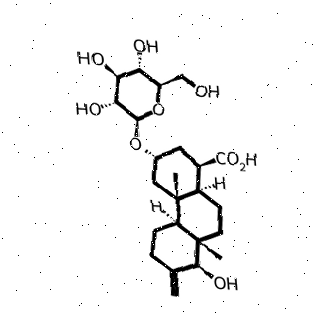 C=C1CC[C@H]2[C@]3(C)C[C@H](O[C@@H]4O[C@H](CO)[C@@H](O)[C@H](O)[C@H]4O)C[C@@H](C(=O)O)[C@H]3CC[C@]2(C)[C@H]1O